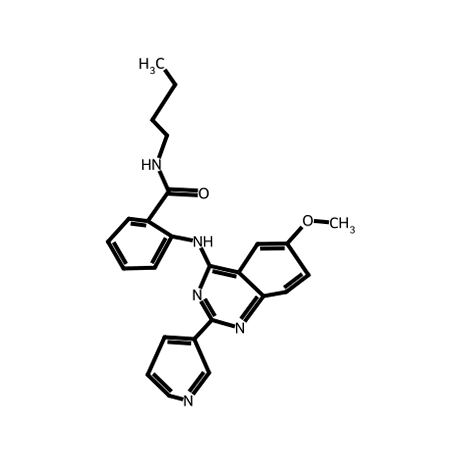 CCCCNC(=O)c1ccccc1Nc1nc(-c2cccnc2)nc2ccc(OC)cc12